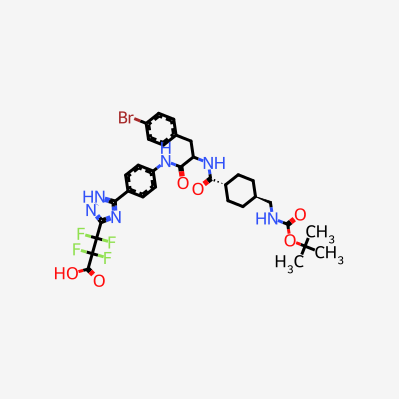 CC(C)(C)OC(=O)NC[C@H]1CC[C@H](C(=O)NC(Cc2ccc(Br)cc2)C(=O)Nc2ccc(-c3nc(C(F)(F)C(F)(F)C(=O)O)n[nH]3)cc2)CC1